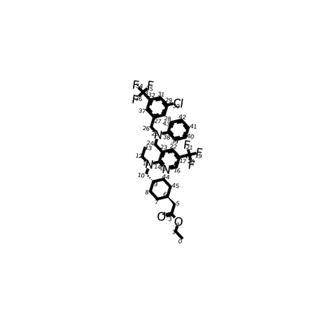 CCOC(=O)C[C@H]1CC[C@H](CN(CC)c2ncc(C(F)(F)F)cc2CN(Cc2cc(Cl)cc(C(F)(F)F)c2)c2ccccc2)CC1